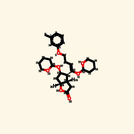 Cc1cccc(OCC/C=C(/OC2CCCCO2)[C@@H]2[C@@H]3CC(=O)O[C@@H]3C[C@H]2OC2CCCCO2)c1